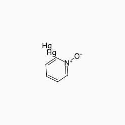 [Hg].[Hg].[O-][n+]1ccccc1